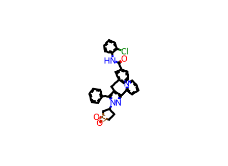 O=C(Nc1ccccc1Cl)c1cccc(Cc2c(-c3ccccn3)nn(C3CCS(=O)(=O)C3)c2-c2ccccc2)c1